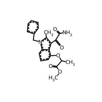 COC(=O)C(C)Oc1cccc2c1c(C(=O)C(N)=O)c(C)n2Cc1ccccc1